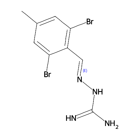 Cc1cc(Br)c(/C=N/NC(=N)N)c(Br)c1